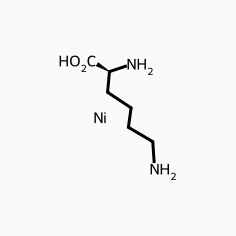 NCCCC[C@H](N)C(=O)O.[Ni]